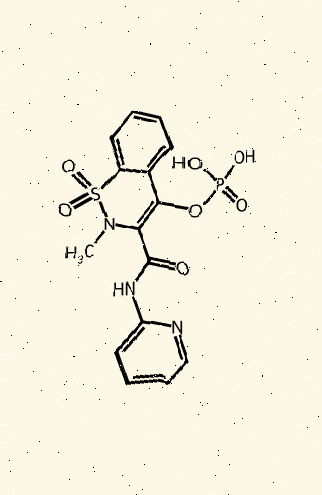 CN1C(C(=O)Nc2ccccn2)=C(OP(=O)(O)O)c2ccccc2S1(=O)=O